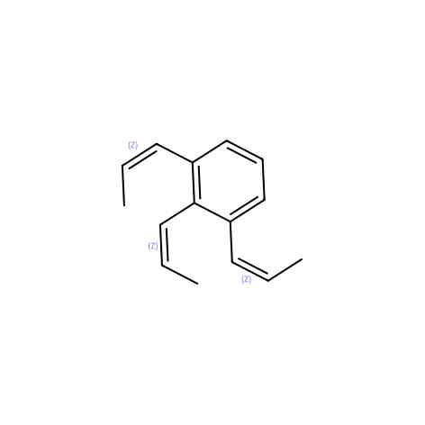 C/C=C\c1cccc(/C=C\C)c1/C=C\C